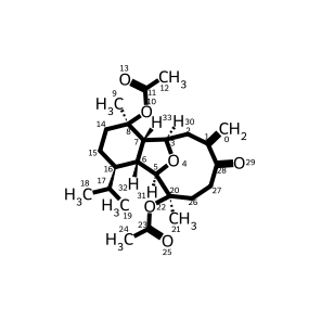 C=C1C[C@H]2O[C@H]([C@H]3[C@@H]2[C@](C)(OC(C)=O)CC[C@@H]3C(C)C)[C@](C)(OC(C)=O)CCC1=O